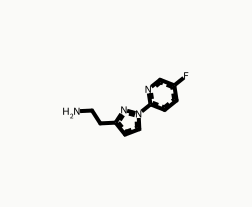 NCCc1ccn(-c2ccc(F)cn2)n1